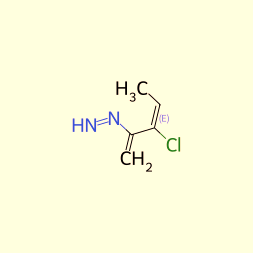 C=C(N=N)/C(Cl)=C\C